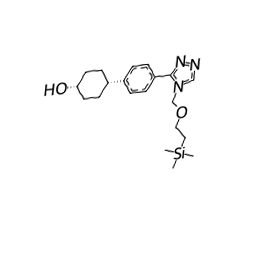 C[Si](C)(C)CCOCn1cnnc1-c1ccc([C@H]2CC[C@@H](O)CC2)cc1